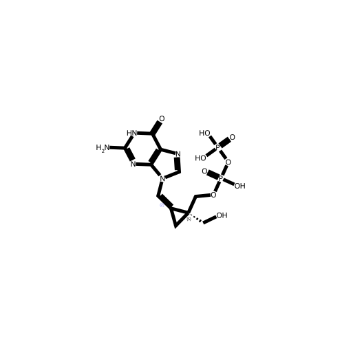 Nc1nc2c(ncn2/C=C2/C[C@]2(CO)COP(=O)(O)OP(=O)(O)O)c(=O)[nH]1